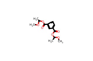 COC(C)OC(=O)c1cccc(C(=O)OC(C)OC)c1